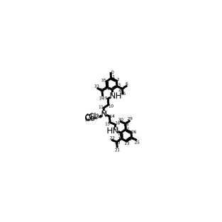 Cc1cc(C(C)C)c(NCCCN(C)CCCNc2c(C(C)C)cc(C)cc2C(C)C)c(C(C)C)c1.[Cl-].[Cl-].[Co+2]